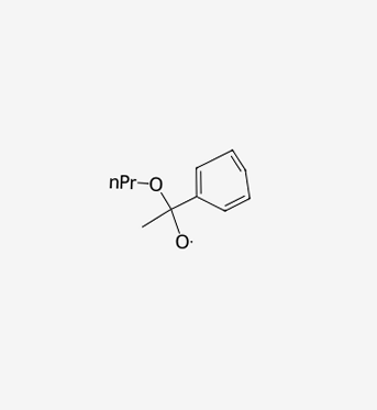 CCCOC(C)([O])c1ccccc1